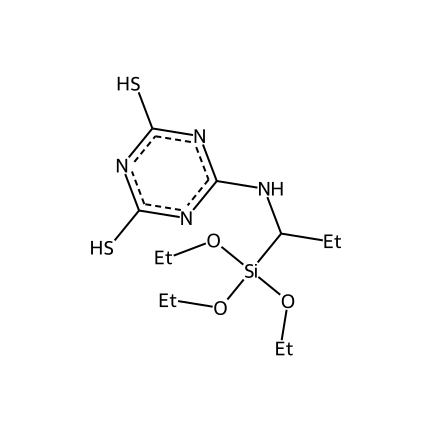 CCO[Si](OCC)(OCC)C(CC)Nc1nc(S)nc(S)n1